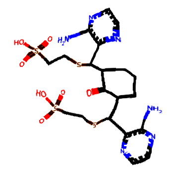 Nc1nccnc1C(SCCS(=O)(=O)O)C1CCCC(C(SCCS(=O)(=O)O)c2nccnc2N)C1=O